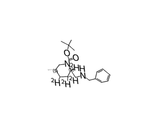 [2H]C1[C@H](C)CN(C(=O)OC(C)(C)C)[C@]([2H])(CNCc2ccccc2)C1([2H])[2H]